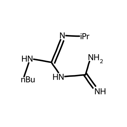 CCCCNC(=NC(C)C)NC(=N)N